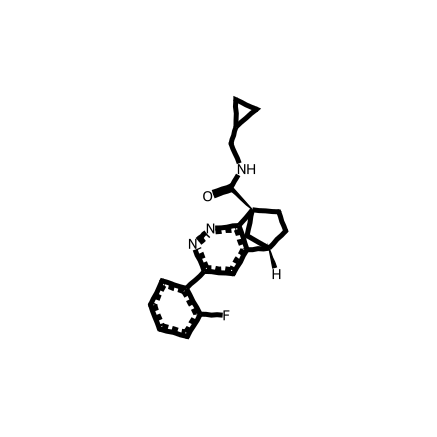 O=C(NCC1CC1)[C@@]12CC[C@@H](C1)c1cc(-c3ccccc3F)nnc12